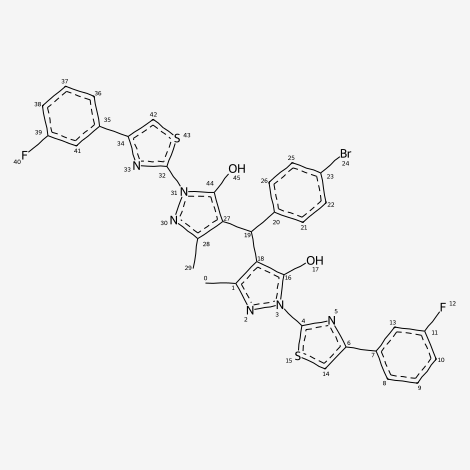 Cc1nn(-c2nc(-c3cccc(F)c3)cs2)c(O)c1C(c1ccc(Br)cc1)c1c(C)nn(-c2nc(-c3cccc(F)c3)cs2)c1O